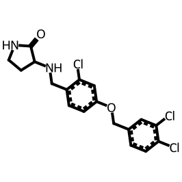 O=C1NCCC1NCc1ccc(OCc2ccc(Cl)c(Cl)c2)cc1Cl